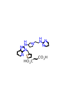 O=C(O)C=CC(=O)O.c1cnc(NCCN2CCC(Nc3nc4cccnc4n3Cc3cccs3)C2)nc1